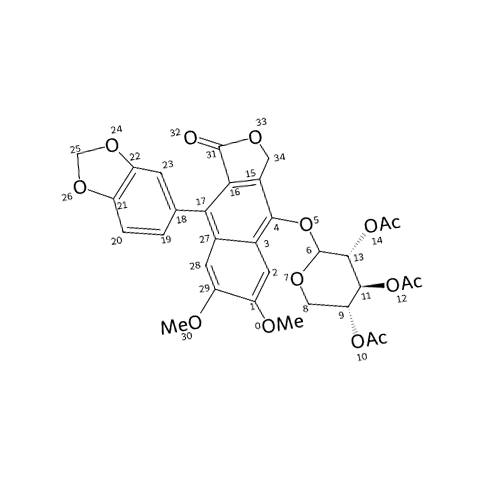 COc1cc2c(OC3OC[C@@H](OC(C)=O)[C@H](OC(C)=O)[C@H]3OC(C)=O)c3c(c(-c4ccc5c(c4)OCO5)c2cc1OC)C(=O)OC3